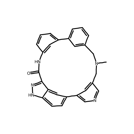 CN1Cc2cccc(c2)-c2cccc(c2)NC(=O)c2n[nH]c3ccc(cc23)-c2cncc(c2)C1